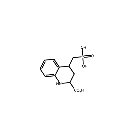 O=C(O)C1CC(CP(=O)(O)O)c2ccccc2N1